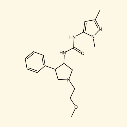 COCCN1CC(NC(=O)Nc2cc(C)nn2C)C(c2ccccc2)C1